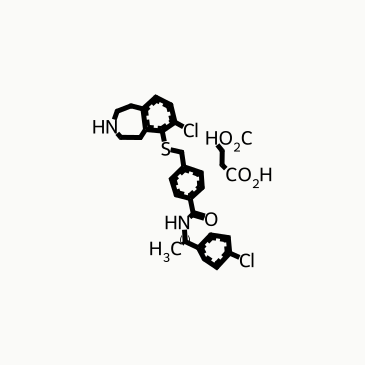 C[C@@H](NC(=O)c1ccc(CSc2c(Cl)ccc3c2CCNCC3)cc1)c1ccc(Cl)cc1.O=C(O)CCC(=O)O